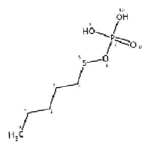 CCCCCSOP(=O)(O)O